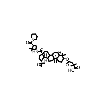 CC(C)(CC(=O)O[C@H]1CC[C@]2(C)[C@H]3CC[C@@H]4[C@H]5[C@H](C6(C)CO6)CC[C@]5(C(=O)N[C@@H]5C[C@H](C(=O)N6CCCCC6)C5(C)C)CC[C@@]4(C)[C@]3(C)CC[C@H]2C1(C)C)C(=O)O